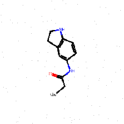 CC(C)(C)CC(=O)Nc1ccc2c(c1)CCN2